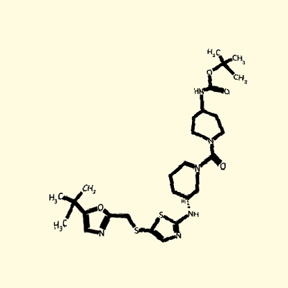 CC(C)(C)OC(=O)NC1CCN(C(=O)N2CCC[C@@H](Nc3ncc(SCc4ncc(C(C)(C)C)o4)s3)C2)CC1